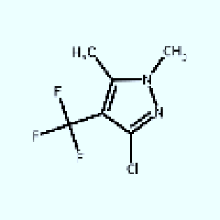 Cc1c(C(F)(F)F)c(Cl)nn1C